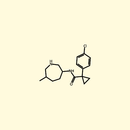 CC1CCC(NC(=O)C2(c3ccc(Cl)cc3)CC2)CNC1